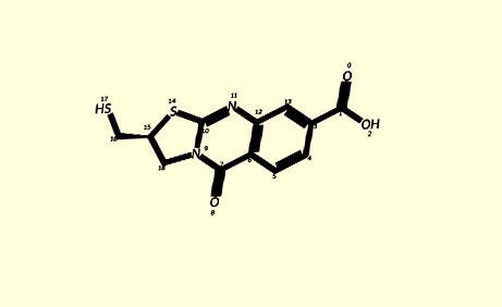 O=C(O)c1ccc2c(=O)n3c(nc2c1)S[C@H](CS)C3